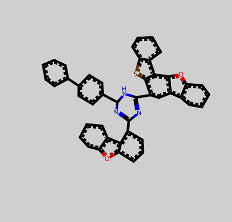 c1ccc(-c2ccc(C3N=C(c4cccc5oc6ccccc6c45)N=C(c4cc5c6ccccc6oc5c5c4sc4ccccc45)N3)cc2)cc1